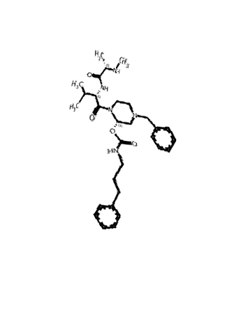 CN[C@@H](C)C(=O)N[C@H](C(=O)N1CCN(Cc2ccccc2)C[C@@H]1OC(=O)NCCCc1ccccc1)C(C)C